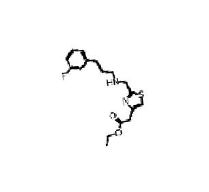 CCOC(=O)Cc1csc(CNCCCc2cccc(F)c2)n1